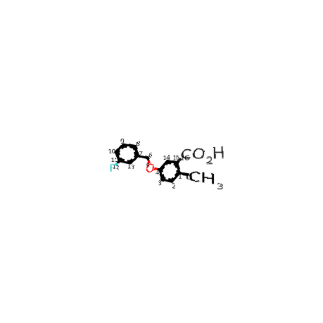 Cc1ccc(OCc2cccc(F)c2)cc1C(=O)O